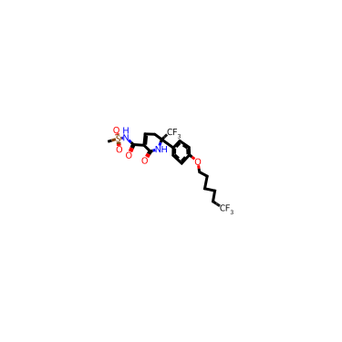 CS(=O)(=O)NC(=O)C1=CCC(c2ccc(OCCCCCC(F)(F)F)cc2)(C(F)(F)F)NC1=O